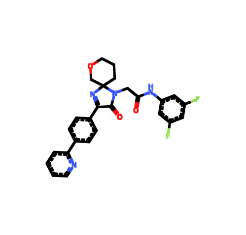 O=C(CN1C(=O)C(c2ccc(-c3ccccn3)cc2)=NC12CCCOC2)Nc1cc(F)cc(F)c1